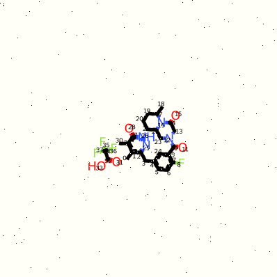 Cc1c(Cc2ccc(F)c(C(=O)N3CC(=O)N4C(C)CCCC4C3)c2)n[nH]c(=O)c1C.O=C(O)C(F)(F)F